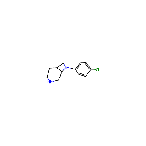 Clc1ccc(N2CC3CCNCC32)cc1